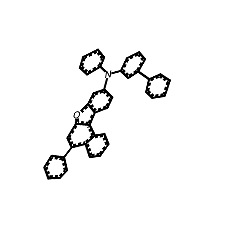 c1ccc(-c2cccc(N(c3ccccc3)c3ccc4c(c3)oc3cc(-c5ccccc5)c5ccccc5c34)c2)cc1